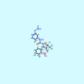 CNCc1cc(NC(=O)C2O[C@@](C)(C(F)(F)F)[C@@H](C)[C@H]2c2ccc(F)c(F)c2OC)c(F)cn1